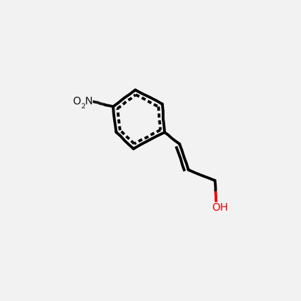 O=[N+]([O-])c1ccc(C=CCO)cc1